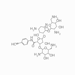 C#Cc1ccc(NC(=O)[C@H]2O[C@@H](O[C@@H]3[C@H](O)[C@H](N)CC(N)[C@H]3O[C@H]3OC(CN)[C@@H](O)[C@H](O)[C@@H]3N)[C@H](O)C2O[C@H]2O[C@@H](CN)[C@@H](O)C(O)C2N)cc1